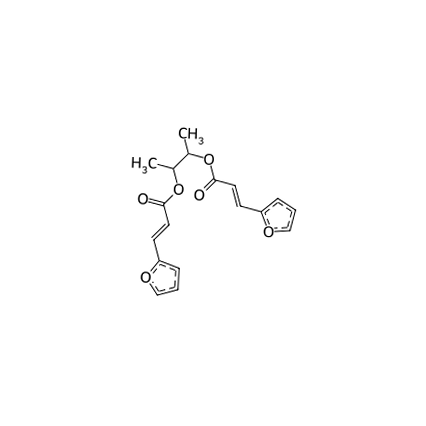 CC(OC(=O)/C=C/c1ccco1)C(C)OC(=O)/C=C/c1ccco1